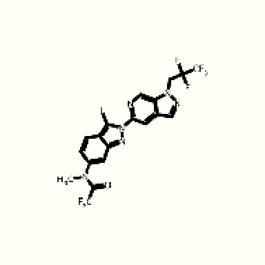 CN(C(=O)C(F)(F)F)c1ccc2c(I)n(-c3cc4cnn(CC(F)(F)C(F)(F)F)c4cn3)nc2c1